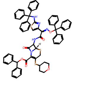 O=C(OC(c1ccccc1)c1ccccc1)C1=C(SC2CCOCC2)CS[C@H]2C(NC(=O)/C(=N\OC(c3ccccc3)(c3ccccc3)c3ccccc3)c3csc(NC(c4ccccc4)(c4ccccc4)c4ccccc4)n3)C(=O)N12